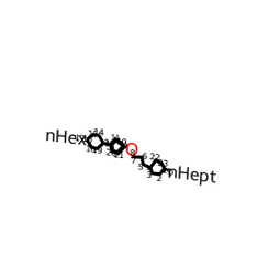 CCCCCCCC1CCC(CCCOc2ccc(C3CCC(CCCCCC)CC3)cc2)CC1